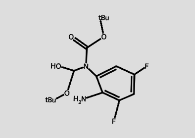 CC(C)(C)OC(=O)N(c1cc(F)cc(F)c1N)C(O)OC(C)(C)C